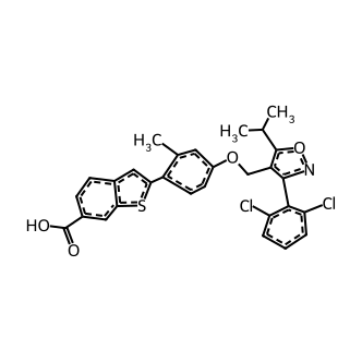 Cc1cc(OCc2c(-c3c(Cl)cccc3Cl)noc2C(C)C)ccc1-c1cc2ccc(C(=O)O)cc2s1